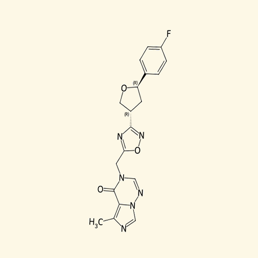 Cc1ncn2ncn(Cc3nc([C@@H]4CO[C@@H](c5ccc(F)cc5)C4)no3)c(=O)c12